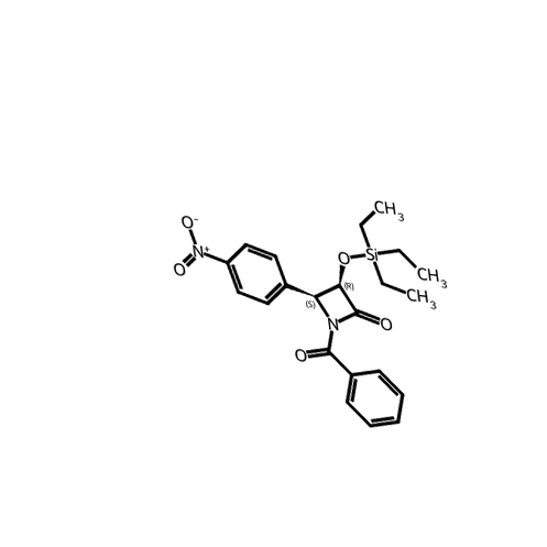 CC[Si](CC)(CC)O[C@H]1C(=O)N(C(=O)c2ccccc2)[C@H]1c1ccc([N+](=O)[O-])cc1